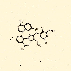 CCOc1cc(CC)cc(C(Nc2ccc3c(N)nccc3c2)c2nc(-c3ccccc3C(N)=O)cn2CC(=O)O)c1F